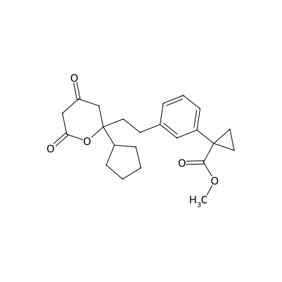 COC(=O)C1(c2cccc(CCC3(C4CCCC4)CC(=O)CC(=O)O3)c2)CC1